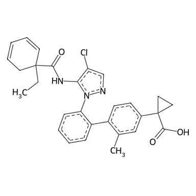 CCC1(C(=O)Nc2c(Cl)cnn2-c2ccccc2-c2ccc(C3(C(=O)O)CC3)cc2C)C=CC=CC1